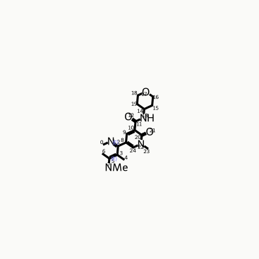 C/N=C(\C(C)=C(/C)NC)c1cc(C(=O)NC2CCOCC2)c(=O)n(C)c1